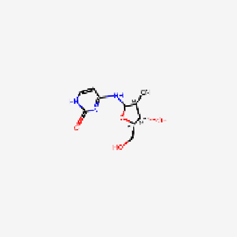 N#C[C@@H]1C(Nc2cc[nH]c(=O)n2)O[C@H](CO)[C@H]1O